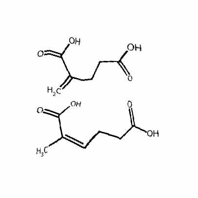 C=C(CCC(=O)O)C(=O)O.CC(=CCCC(=O)O)C(=O)O